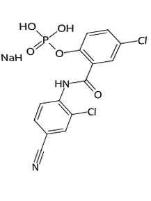 N#Cc1ccc(NC(=O)c2cc(Cl)ccc2OP(=O)(O)O)c(Cl)c1.[NaH]